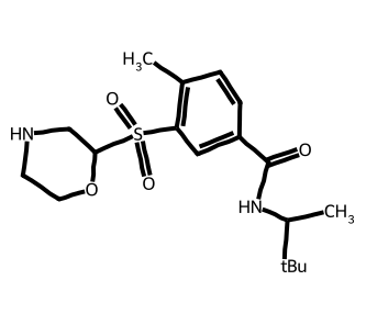 Cc1ccc(C(=O)NC(C)C(C)(C)C)cc1S(=O)(=O)C1CNCCO1